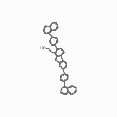 OCCc1c(-c2ccc(-c3cccc4ccccc34)cc2)ccc2c1Cc1cc(-c3ccc(-c4cccc5ccccc45)cc3)ccc1-2